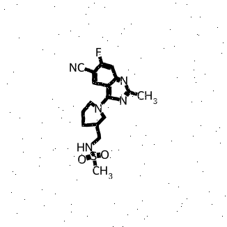 Cc1nc(N2CCCC(CNS(C)(=O)=O)C2)c2cc(C#N)c(F)cc2n1